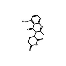 CNc1cccc2nc(C)n(C3CCC(=O)NC3=O)c(=O)c12